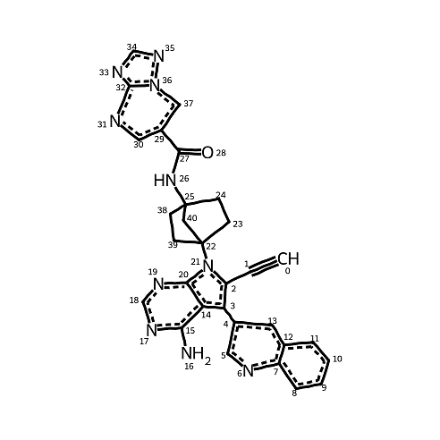 C#Cc1c(-c2cnc3ccccc3c2)c2c(N)ncnc2n1C12CCC(NC(=O)c3cnc4ncnn4c3)(CC1)C2